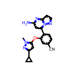 Cn1nc(C2CC2)cc1Oc1cc(C#N)ccc1-c1cc(N)nc2ccnn12